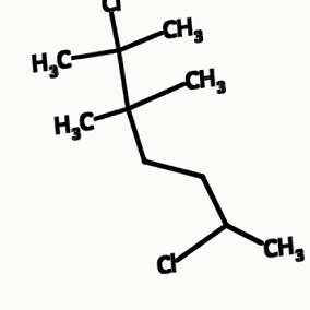 CC(Cl)CCC(C)(C)C(C)(C)Cl